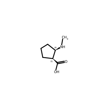 CN[C@@H]1CCC[C@@H]1C(=O)O